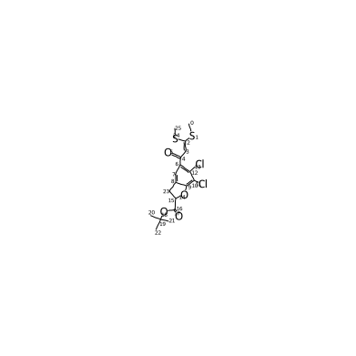 CSC(=CC(=O)c1cc2c(c(Cl)c1Cl)OC(C(=O)OC(C)(C)C)C2)SC